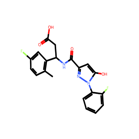 Cc1ccc(F)cc1C(CC(=O)O)NC(=O)c1cc(O)n(-c2ccccc2F)n1